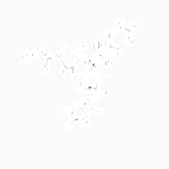 COC(=O)c1ccc2c(c1)c1c(n2S(=O)(=O)c2ccccc2)CN(Cc2ccccc2)C1